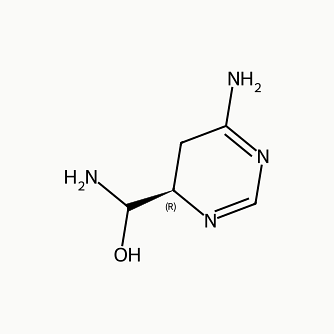 NC1=NC=N[C@@H](C(N)O)C1